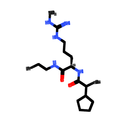 CCCCC(C(=O)N[C@@H](CCCNC(=N)N[N+](=O)[O-])C(=O)N[CH]CC(C)C)C1CCCC1